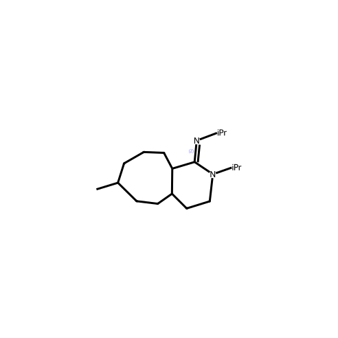 CC1CCCC2/C(=N/C(C)C)N(C(C)C)CCC2CC1